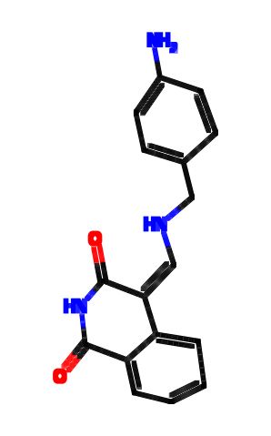 Nc1ccc(CNC=C2C(=O)NC(=O)c3ccccc32)cc1